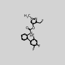 Cn1cc(OC(=O)Nc2ccccc2-c2cc(F)c(F)cc2F)c(CF)n1